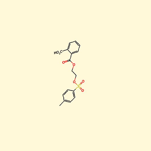 Cc1ccc(S(=O)(=O)OCCOC(=O)c2ccccc2C(=O)O)cc1